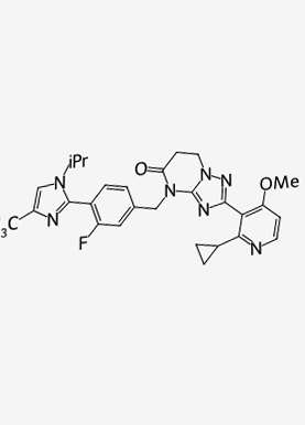 COc1ccnc(C2CC2)c1-c1nc2n(n1)CCC(=O)N2Cc1ccc(-c2nc(C(F)(F)F)cn2C(C)C)c(F)c1